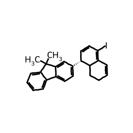 CC1(C)c2ccccc2-c2ccc([C@@H]3C=CC(I)=C4C=CCCC43)cc21